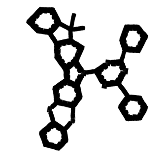 CC1(C)c2ccccc2-c2cc3c4cc5c(cc4n(-c4nc(-c6ccccc6)nc(-c6ccccc6)n4)c3cc21)Sc1ccccc1S5